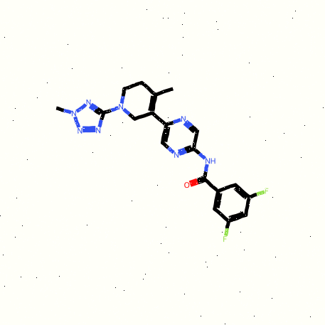 CC1=C(c2cnc(NC(=O)c3cc(F)cc(F)c3)cn2)CN(c2nnn(C)n2)CC1